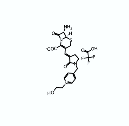 N[C@@H]1C(=O)N2C(C(=O)[O-])=C(/C=C3\CCN(Cc4cc[n+](CCO)cc4)C3=O)CS[C@H]12.O=C(O)C(F)(F)F